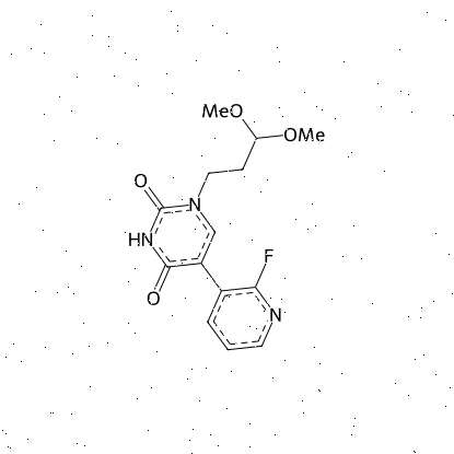 COC(CCn1cc(-c2cccnc2F)c(=O)[nH]c1=O)OC